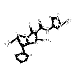 Cc1[nH]c2c(-c3ccccc3)c(C(F)(F)F)nn2c(=O)c1C(=O)Nc1cnn(C)c1